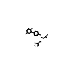 Cc1ccc(C)c(-c2ccc(C[C@H](C[C@@](C)(CO)C(=O)O)NC(=O)c3cnn[nH]3)cc2)c1